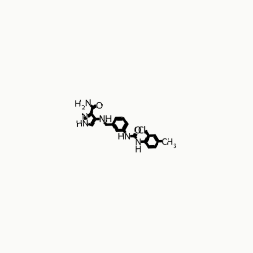 Cc1ccc(NC(=O)Nc2cccc(CNc3c[nH]nc3C(N)=O)c2)c(Cl)c1